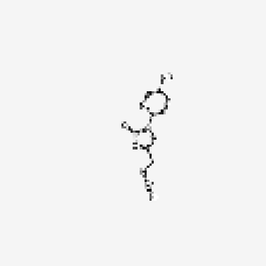 [N-]=[N+]=NCc1cn(-c2ccc(N=O)cn2)c(=O)o1